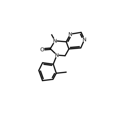 Cc1ccccc1N1Cc2cncnc2N(C)C1=O